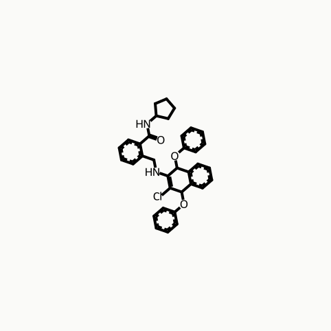 O=C(NC1CCCC1)c1ccccc1CNC1=C(Cl)C(Oc2ccccc2)c2ccccc2C1Oc1ccccc1